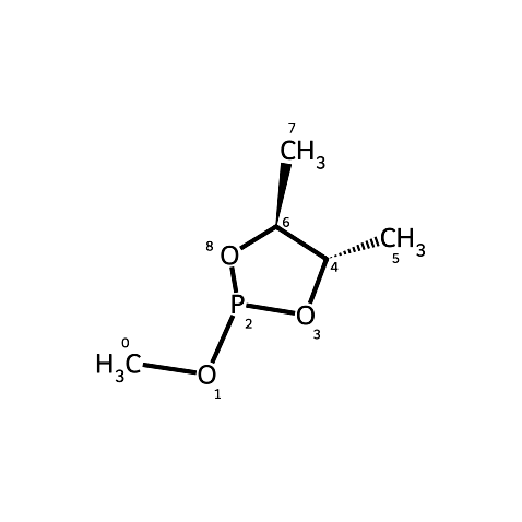 COP1O[C@@H](C)[C@H](C)O1